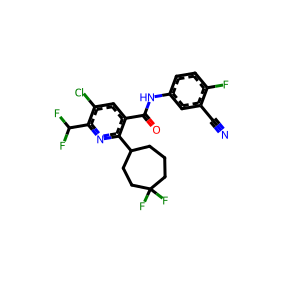 N#Cc1cc(NC(=O)c2cc(Cl)c(C(F)F)nc2C2CCCC(F)(F)CC2)ccc1F